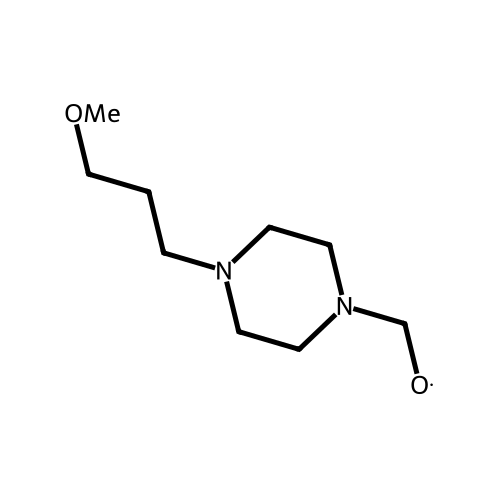 COCCCN1CCN(C[O])CC1